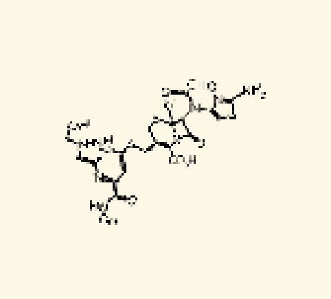 Nc1nc(N(C(=O)C=O)[C@@H]2C(=O)N3C(C(=O)O)=C(CSC4=CC(C(=O)NO)=NC5=CN(CO)NN54)CS[C@H]23)cs1